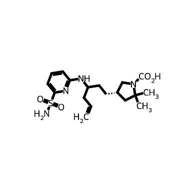 C=CCC(CC[C@@H]1CN(C(=O)O)C(C)(C)C1)Nc1cccc(S(N)(=O)=O)n1